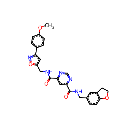 COc1ccc(-c2cc(CNC(=O)c3cc(C(=O)NCc4ccc5c(c4)CCO5)ncn3)on2)cc1